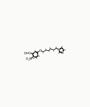 O=Cc1cc(OCCCCCCn2ccnc2)ccc1[N+](=O)[O-]